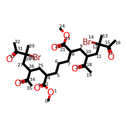 COC(=O)C(CCCC(CC(CC(C)(Br)C(C)=O)C(C)=O)C(=O)OC)CC(CC(C)(Br)C(C)=O)C(C)=O